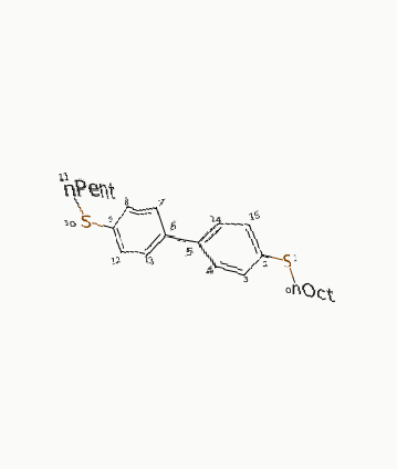 CCCCCCCCSc1ccc(-c2ccc(SCCCCC)cc2)cc1